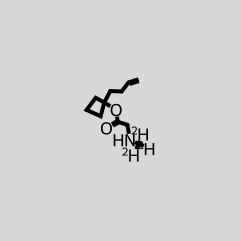 [2H]C([2H])([2H])NCC(=O)OC1(CCC=C)CCC1